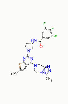 CCCc1cc2c(N3CCn4c(nnc4C(F)(F)F)C3)nc(N3CCC(NC(=O)c4cc(F)c(F)c(F)c4)C3)nc2s1